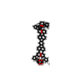 CC12CCCC1c1cc(-c3ccc4c5cc6c(cc5c5ccc(-c7ccc8c(c7)C7CCCC7(C)N8c7ccccc7)c3c45)c3ccc(-c4ccc5c(c4)C4CCCC4(C)N5c4ccccc4)c4c(-c5ccc7c(c5)C5CCCC5(C)N7c5ccccc5)ccc6c43)ccc1N2c1ccccc1